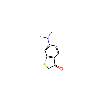 CN(C)c1ccc2c(c1)SCC2=O